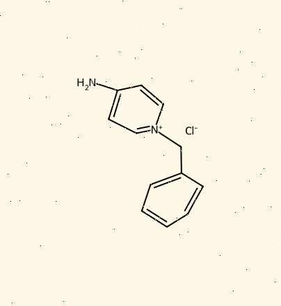 Nc1cc[n+](Cc2ccccc2)cc1.[Cl-]